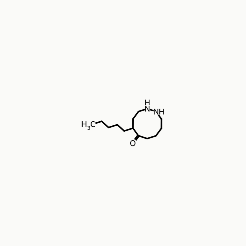 CCCCCC1CCNNCCCCC1=O